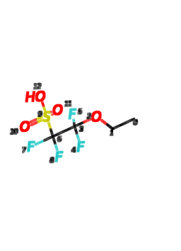 CCOC(F)(F)C(F)(F)S(=O)(=O)O